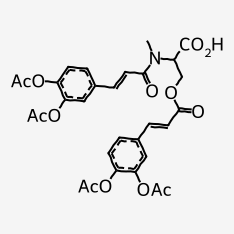 CC(=O)Oc1ccc(C=CC(=O)OCC(C(=O)O)N(C)C(=O)C=Cc2ccc(OC(C)=O)c(OC(C)=O)c2)cc1OC(C)=O